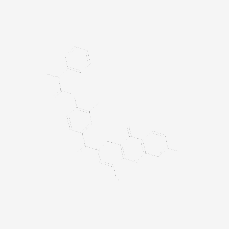 Cc1cc(C(=O)N2Cc3c([nH]c4cc(Cl)ccc4c3=O)C(O)=N2)ccc1OC(=O)N(C)c1ccccc1